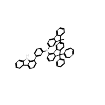 CC1(C)c2ccccc2-c2ccc(N(c3cccc(-c4cccc5c4[nH]c4ccccc45)c3)c3cccc4c3-c3ccccc3C4(C3=CCC=CC=C3)c3ccccc3)cc21